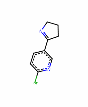 Brc1ccc(C2=NCCC2)cn1